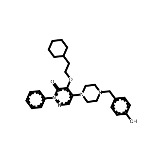 O=c1c(OCCC2CCCCC2)c(N2CCN(Cc3ccc(O)cc3)CC2)cnn1-c1ccccc1